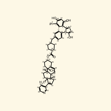 CC(C)c1cc(-c2nnc(O)n2-c2ccc(CC3CCN(C(=O)O[C@H]4CCC5(C)C(=CCC6[C@@H]5CCC5(C)C(c7cccnc7)=CC[C@@H]65)C4)CC3)cc2)c(O)cc1O